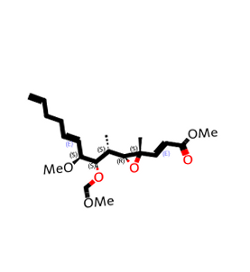 C=CCC/C=C/[C@H](OC)[C@@H](OCOC)[C@H](C)[C@H]1O[C@@]1(C)/C=C/C(=O)OC